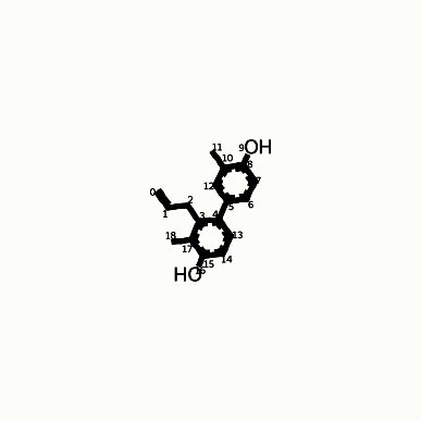 C=CCc1c(-c2ccc(O)c(C)c2)ccc(O)c1C